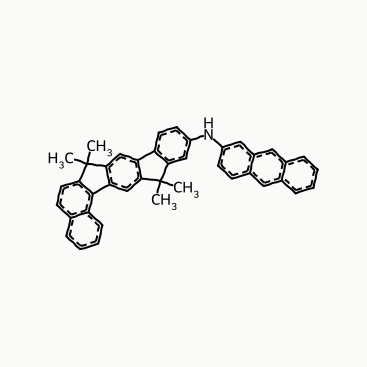 CC1(C)c2cc(Nc3ccc4cc5ccccc5cc4c3)ccc2-c2cc3c(cc21)-c1c(ccc2ccccc12)C3(C)C